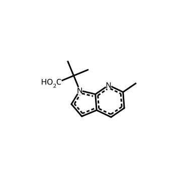 Cc1ccc2ccn(C(C)(C)C(=O)O)c2n1